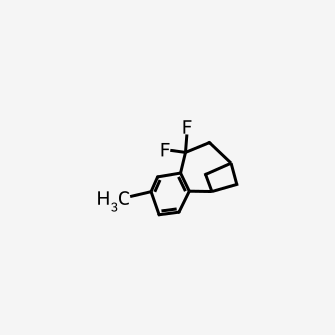 Cc1ccc2c(c1)C(F)(F)CC1CC2C1